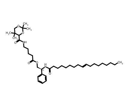 CCCCCCCCC=CCCCCCCCC(=O)N[C@H](COC(=O)CCCCNC(=O)C1OC(C)(C)OCC1(C)C)c1ccccc1